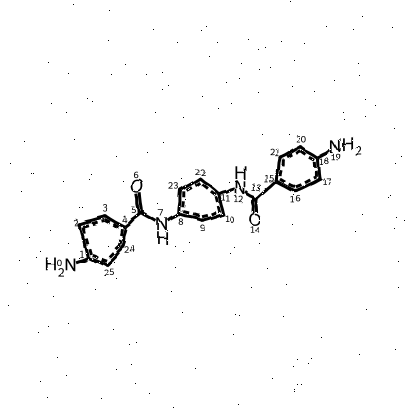 Nc1ccc(C(=O)Nc2ccc(NC(=O)c3ccc(N)cc3)cc2)cc1